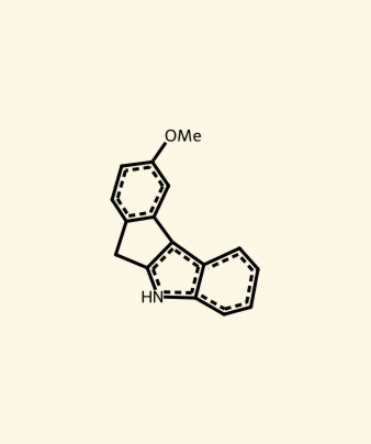 COc1ccc2c(c1)-c1c([nH]c3ccccc13)C2